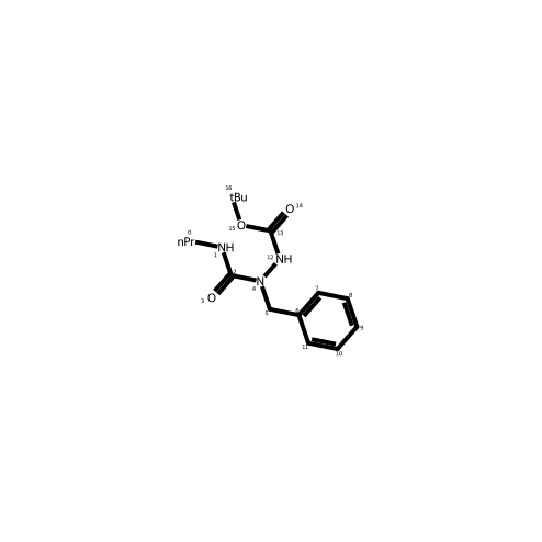 CCCNC(=O)N(Cc1ccccc1)NC(=O)OC(C)(C)C